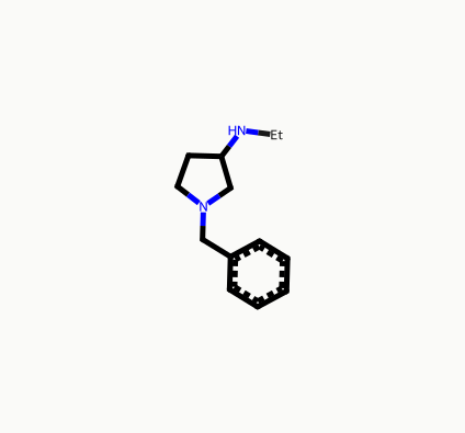 CCNC1CCN(Cc2ccccc2)C1